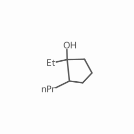 CCCC1CCCC1(O)CC